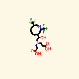 O=C(O)CCN(CCC(=O)O)CC(O)c1ccccc(C(F)(F)F)cnc(C(F)(F)F)c1